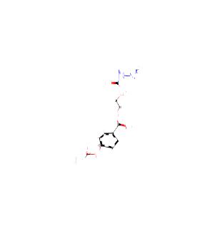 CCCC(=O)Oc1ccc(C(=O)OCCOC(=O)N(C)NCC)cc1